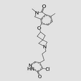 Cc1ccc(OC2CC3(C2)CN(CCCc2cn[nH]c(=O)c2Cl)C3)c2c1C(=O)N(C)C2